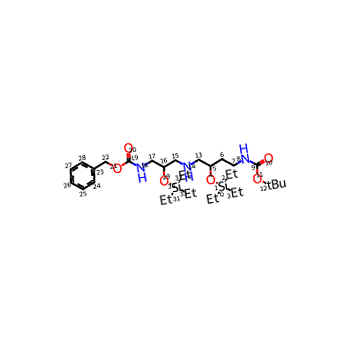 CC[Si](CC)(CC)OC(CCNC(=O)OC(C)(C)C)CNCC(CNC(=O)OCc1ccccc1)O[Si](CC)(CC)CC